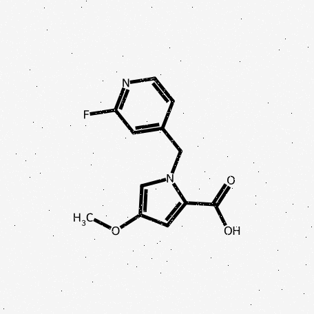 COc1cc(C(=O)O)n(Cc2ccnc(F)c2)c1